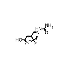 NC(=O)NN=CC(=CC(=O)O)C(F)(F)F